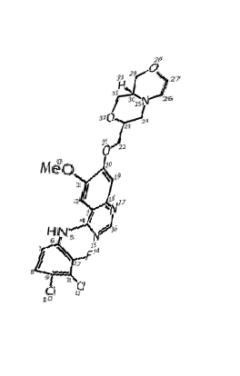 COc1cc2c(Nc3ccc(Cl)c(Cl)c3F)ncnc2cc1OC[C@@H]1CN2CCOC[C@H]2CO1